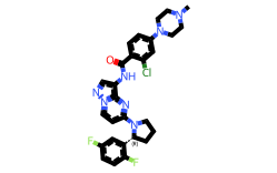 CN1CCN(c2ccc(C(=O)Nc3cnn4ccc(N5CCC[C@@H]5c5cc(F)ccc5F)nc34)c(Cl)c2)CC1